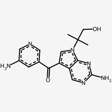 CC(C)(CO)n1cc(C(=O)c2cncc(N)c2)c2cnc(N)nc21